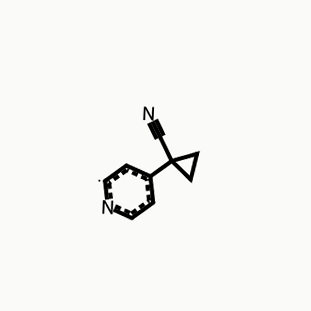 N#CC1(c2c[c]ncc2)CC1